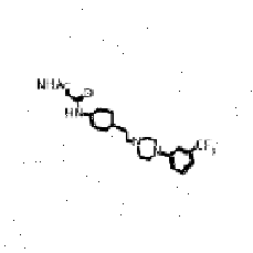 CC(=O)NCC(=O)NC1CCC(CCN2CCN(c3cccc(C(F)(F)F)c3)CC2)CC1